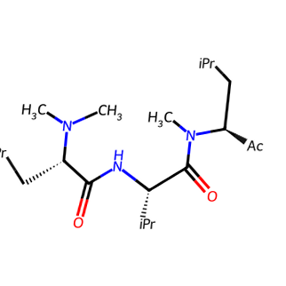 CC(=O)[C@H](CC(C)C)N(C)C(=O)[C@@H](NC(=O)[C@H](CC(C)C)N(C)C)C(C)C